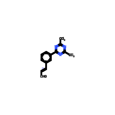 O=C/C=C/c1cccc(-c2nc(C(Cl)(Cl)Cl)nc(C(Cl)(Cl)Cl)n2)c1